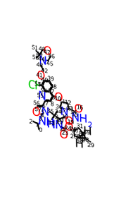 CC(C)Nc1nc(-c2cc(OC3C[C@@H](C(N)=O)N(C(=O)[C@@H](NC(=O)O[C@@H]4C[C@@H]5[C@H](C)[C@@H]5C4)C(C)(C)C)C3)c3ccc(OCCN4CCOCC4(C)C)c(Cl)c3n2)co1